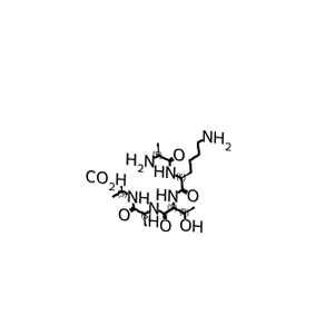 C[C@H](N)C(=O)N[C@@H](CCCCN)C(=O)N[C@H](C(=O)N[C@@H](C)C(=O)N[C@@H](C)C(=O)O)[C@@H](C)O